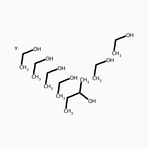 CCC(C)O.CCO.CCO.CCO.CCO.CCO.CCO.[Y]